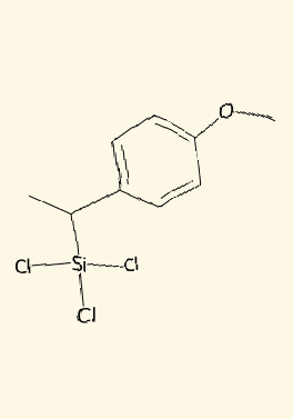 COc1ccc(C(C)[Si](Cl)(Cl)Cl)cc1